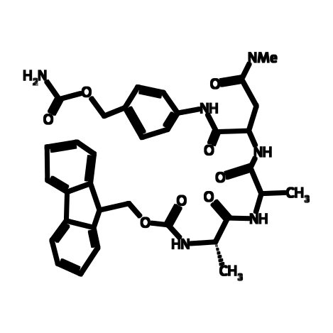 CNC(=O)CC(NC(=O)C(C)NC(=O)[C@H](C)NC(=O)OCC1c2ccccc2-c2ccccc21)C(=O)Nc1ccc(COC(N)=O)cc1